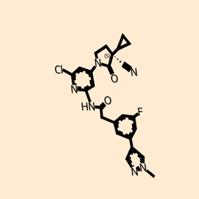 Cn1cc(-c2cc(F)cc(CC(=O)Nc3cc(N4CC[C@@](C#N)(C5CC5)C4=O)cc(Cl)n3)c2)cn1